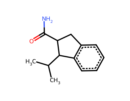 CC(C)C1c2ccccc2CC1C(N)=O